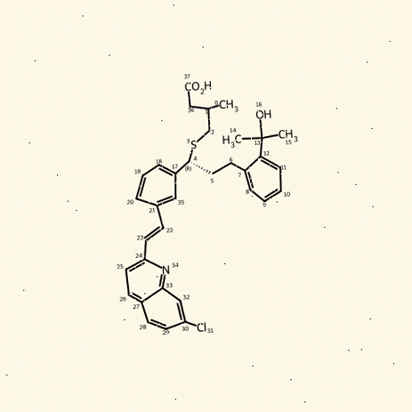 CC(CS[C@H](CCc1ccccc1C(C)(C)O)c1cccc(C=Cc2ccc3ccc(Cl)cc3n2)c1)CC(=O)O